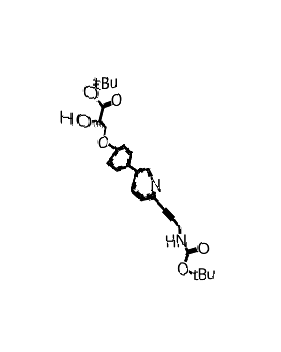 CC(C)(C)OC(=O)NCC#Cc1ccc(-c2ccc(OC[C@@H](O)C(=O)OC(C)(C)C)cc2)cn1